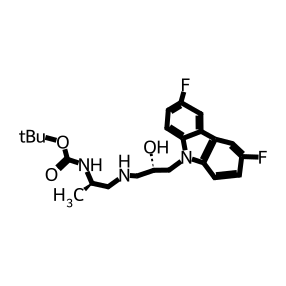 C[C@H](CNC[C@H](O)Cn1c2ccc(F)cc2c2cc(F)ccc21)NC(=O)OC(C)(C)C